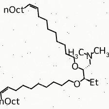 CCCCCCCC/C=C\CCCCCCCCO[C@H](CC)[C@@H](CN(C)C)OCCCCCCCC/C=C\CCCCCCCC